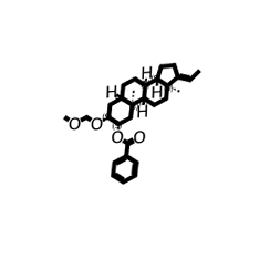 CC=C1CC[C@H]2[C@@H]3CC[C@H]4C[C@H](OCOC)[C@@H](OC(=O)c5ccccc5)C[C@]4(C)[C@H]3CC[C@]12C